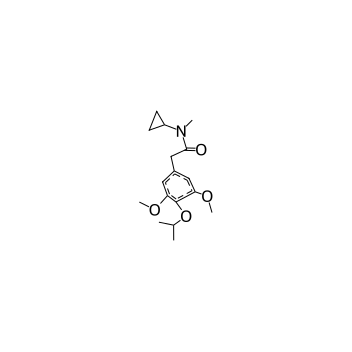 COc1cc(CC(=O)N(C)C2CC2)cc(OC)c1OC(C)C